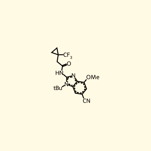 COc1cc(C#N)cc2c1nc(NC(=O)CC1(C(F)(F)F)CC1)n2C(C)(C)C